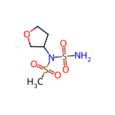 CS(=O)(=O)N(C1CCOC1)S(N)(=O)=O